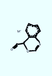 O=CC1OC=Nc2ccccc21.[H+]